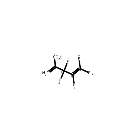 C=C(C(=O)O)C(F)(F)C(F)=C(F)F